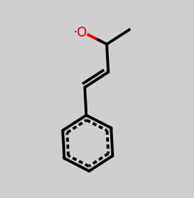 CC([O])C=Cc1ccccc1